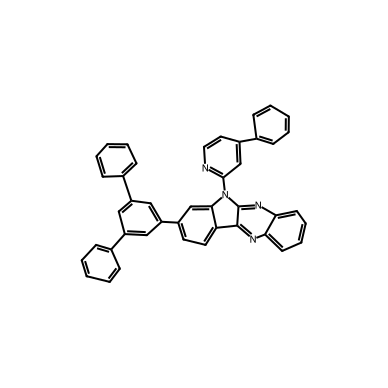 c1ccc(-c2cc(-c3ccccc3)cc(-c3ccc4c5nc6ccccc6nc5n(-c5cc(-c6ccccc6)ccn5)c4c3)c2)cc1